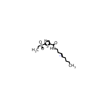 CCCC/C=C/CCNC(=O)c1cnc(S(=O)(=O)CC)s1